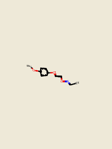 CCC=NOCCOc1ccc(OC(C)CC)cc1